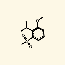 COc1cccc(S(C)(=O)=O)c1C(C)C